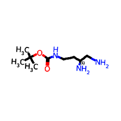 CC(C)(C)OC(=O)NCC[C@H](N)CN